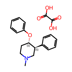 CN1CC[C@H](Oc2ccccc2)[C@@H](c2ccccc2)C1.O=C(O)C(=O)O